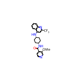 COc1cnccc1C(=O)N[C@H]1CC[C@@H](Nc2cc(C(F)(F)F)nc3ccccc23)CC1